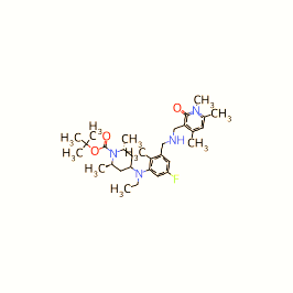 CCN(c1cc(F)cc(CNCc2c(C)cc(C)n(C)c2=O)c1C)C1C[C@@H](C)N(C(=O)OC(C)(C)C)[C@H](C)C1